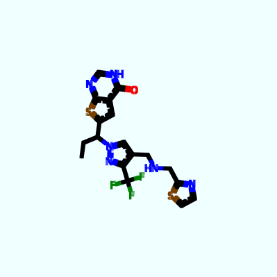 CCC(c1cc2c(=O)[nH]cnc2s1)n1cc(CNCc2nccs2)c(C(F)(F)F)n1